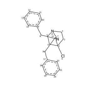 ClC12CCN(CC1)N(Cc1ccccc1)C2Cc1ccccc1